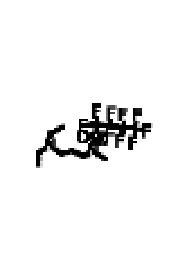 CCN(CC)CCCN(C)S(=O)(=O)C(F)(F)C(F)(F)C(F)(F)C(F)(F)F